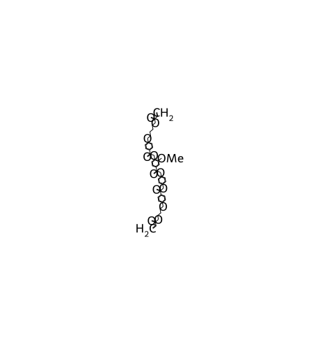 C=CC(=O)OCCCCOc1ccc(C(=O)Oc2ccc(C(=O)Oc3ccc(OC(=O)c4ccc(OCCCOC(=O)C=C)cc4)cc3)cc2OC)cc1